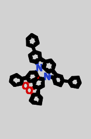 c1ccc(-c2ccc3c(c2)c2ccc4c5cc(-c6ccccc6)ccc5n(-c5ccc6oc7ccccc7c6c5)c4c2n3-c2ccc3oc4ccccc4c3c2)cc1